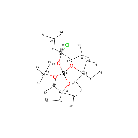 CC[Si](CC)(CC)O[Si](O[Si](C)(C)C)(O[Si](Cl)(CC(C)C)CC(C)C)O[Si](CC)(CC)CC